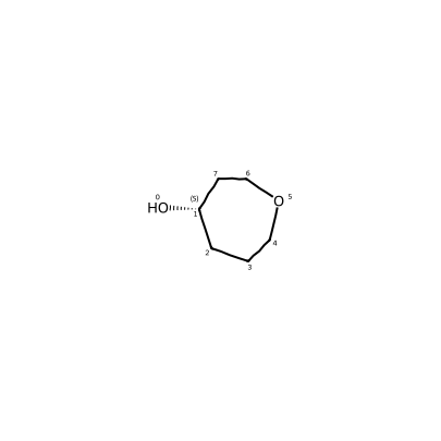 O[C@H]1CCCOCC1